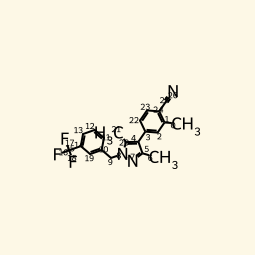 Cc1cc(-c2c(C)nn(Cc3cccc(C(F)(F)F)c3)c2C)ccc1C#N